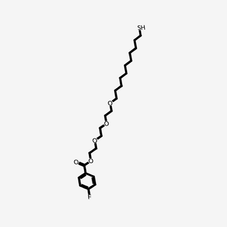 O=C(OCCOCCOCCOCCCCCCCCCCCS)c1ccc(F)cc1